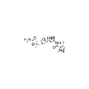 Cn1ncc(F)c1C(=O)Nc1cc([C@H]2C[C@H](CC(C)(C)OC(N)=O)CO2)[nH]n1